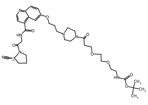 CC(C)(C)OC(=O)NCCOCCOCCC(=O)N1CCN(CCCOc2ccc3nccc(C(=O)NCC(=O)N4CCC[C@H]4C#N)c3c2)CC1